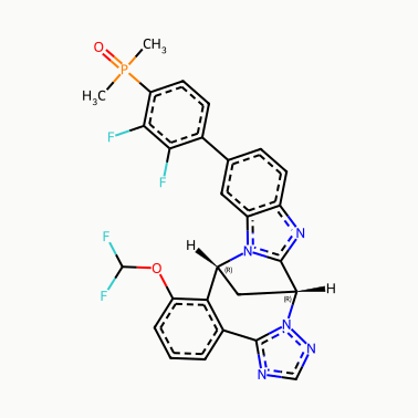 CP(C)(=O)c1ccc(-c2ccc3nc4n(c3c2)[C@@H]2C[C@H]4n3ncnc3-c3cccc(OC(F)F)c32)c(F)c1F